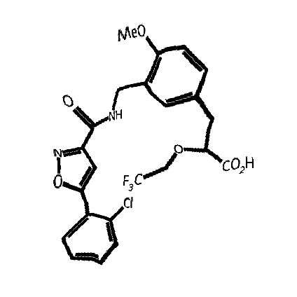 COc1ccc(CC(OCC(F)(F)F)C(=O)O)cc1CNC(=O)c1cc(-c2ccccc2Cl)on1